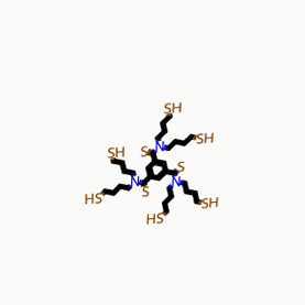 S=C(c1cc(C(=S)N(CCCCS)CCCCS)cc(C(=S)N(CCCCS)CCCCS)c1)N(CCCCS)CCCCS